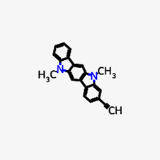 C#Cc1ccc2c3cc4c(cc3n(C)c2c1)c1ccccc1n4C